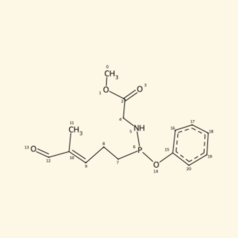 COC(=O)CNP(CC/C=C(\C)C=O)Oc1ccccc1